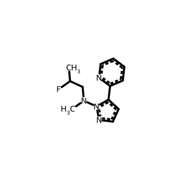 CC(F)CN(C)n1nccc1-c1ccccn1